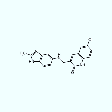 O=c1[nH]c2ccc(Cl)cc2cc1CNc1ccc2[nH]c(C(F)(F)F)nc2c1